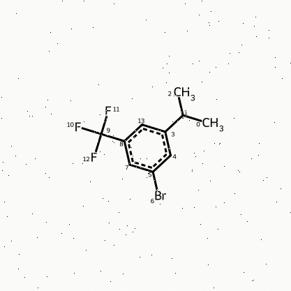 C[C](C)c1cc(Br)cc(C(F)(F)F)c1